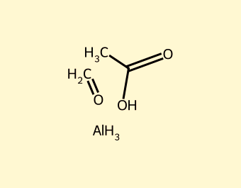 C=O.CC(=O)O.[AlH3]